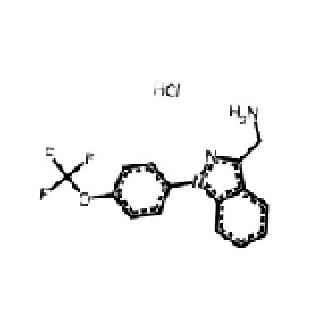 Cl.NCc1nn(-c2ccc(OC(F)(F)F)cc2)c2ccccc12